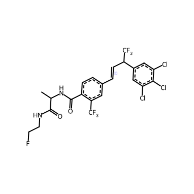 CC(NC(=O)c1ccc(/C=C/C(c2cc(Cl)c(Cl)c(Cl)c2)C(F)(F)F)cc1C(F)(F)F)C(=O)NCCF